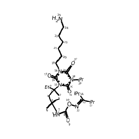 CCC(C)(CC(C)(C)NC(=O)ON=C(C(C)C)C(C)C)n1c(=O)n(CCCCCCN)c(=O)n(C(C)C)c1=O